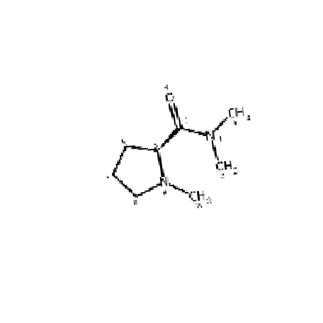 CN(C)C(=O)[C@@H]1CCCN1C